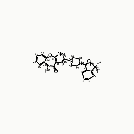 O=C(c1ccccc1C(F)(F)F)N1CCN(c2cc3c(nn2)Oc2ccccc2N(F)C3=O)CC1